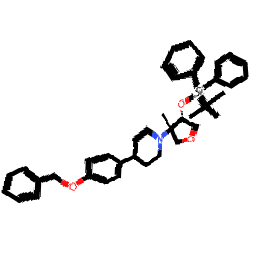 CC(C)(C)[Si](O[C@@H]1COC[C@]1(C)N1CCC(c2ccc(OCc3ccccc3)cc2)CC1)(c1ccccc1)c1ccccc1